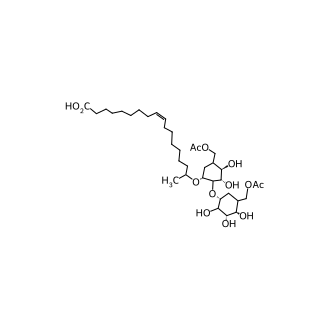 CC(=O)OCC1C[C@@H](OC2[C@@H](O)[C@H](O)C(COC(C)=O)C[C@H]2OC(C)CCCCCC/C=C\CCCCCCCC(=O)O)C(O)[C@@H](O)[C@@H]1O